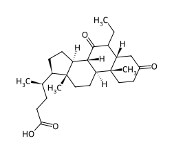 CCC1C(=O)[C@@H]2[C@H](CC[C@]3(C)[C@@H]([C@H](C)CCC(=O)O)CC[C@@H]23)[C@@]2(C)CCC(=O)C[C@@H]12